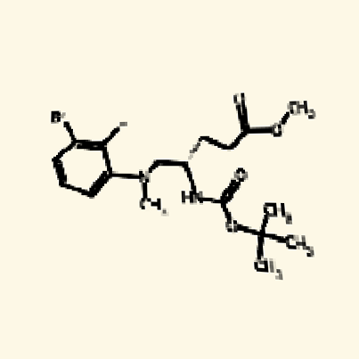 COC(=O)CC[C@@H](CN(C)c1cccc(Br)c1F)NC(=O)OC(C)(C)C